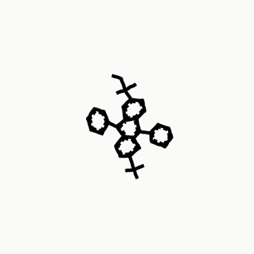 CCC(C)(C)c1ccc2c(-c3ccccc3)c3cc(C(C)(C)C)ccc3c(-c3ccccc3)c2c1